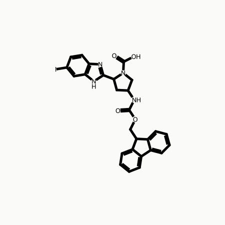 O=C(NC1CC(c2nc3ccc(I)cc3[nH]2)N(C(=O)O)C1)OCC1c2ccccc2-c2ccccc21